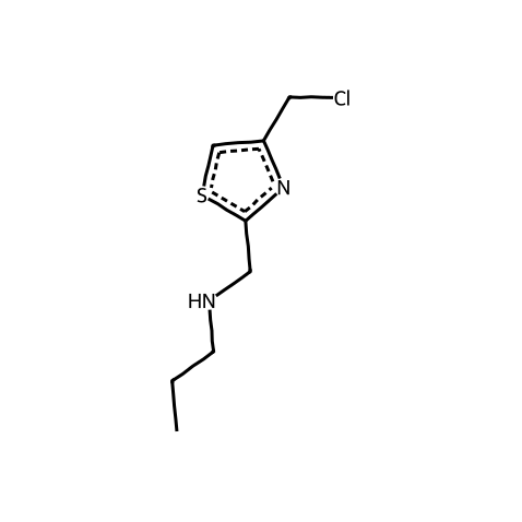 CCCNCc1nc(CCl)cs1